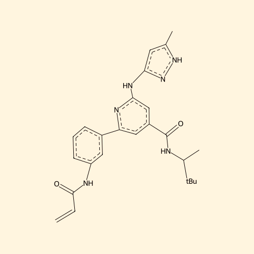 C=CC(=O)Nc1cccc(-c2cc(C(=O)NC(C)C(C)(C)C)cc(Nc3cc(C)[nH]n3)n2)c1